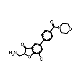 NCC1Oc2c(Cl)cc(-c3ccc(C(=O)N4CCOCC4)cc3)cc2C1=O